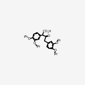 CC(C)Oc1ccc(CC(=O)C(C(=O)O)c2ccc(OC(C)C)c(OC(C)C)c2)cc1OC(C)C